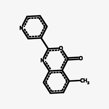 Cc1cccc2nc(-c3cccnc3)oc(=O)c12